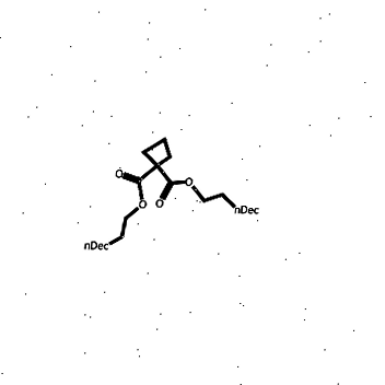 CCCCCCCCCCCCOC(=O)C1(C(=O)OCCCCCCCCCCCC)CCC1